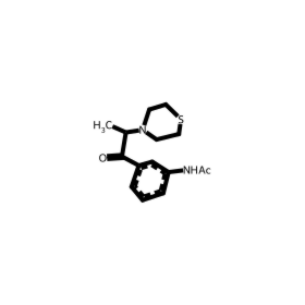 CC(=O)Nc1cccc(C(=O)C(C)N2CCSCC2)c1